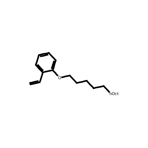 C=Cc1ccccc1OCCCCCCCCCCCCC